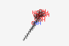 CCCCCCCCCCCCCCCC(=O)NCC[C@@H]1O[C@H](CO)[C@@H](O[C@@H]2O[C@H](CO)[C@H](O)[C@H](O)[C@H]2O)[C@H](O)[C@H]1O